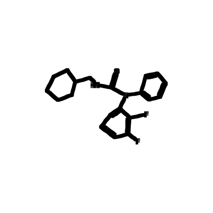 O=C(NCC1CCCCC1)N(c1ccccc1)c1cccc(F)c1F